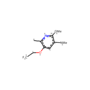 CNc1cc(OCC(F)(F)F)c(C)nc1OC